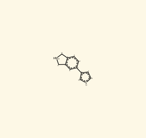 c1cc(-c2ccc3c(c2)CNC3)cs1